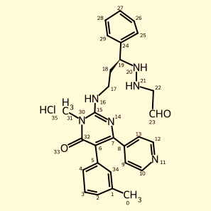 Cc1cccc(-c2c(-c3ccncc3)nc(NCC[C@H](NNCC=O)c3ccccc3)n(C)c2=O)c1.Cl